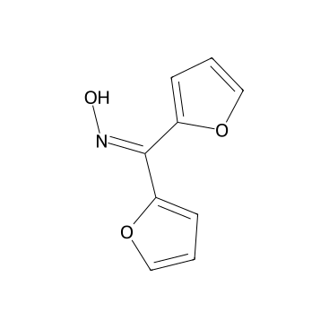 ON=C(c1ccco1)c1ccco1